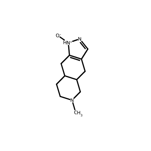 CN1CCC2CC3=C(C=N[NH+]3[O-])CC2C1